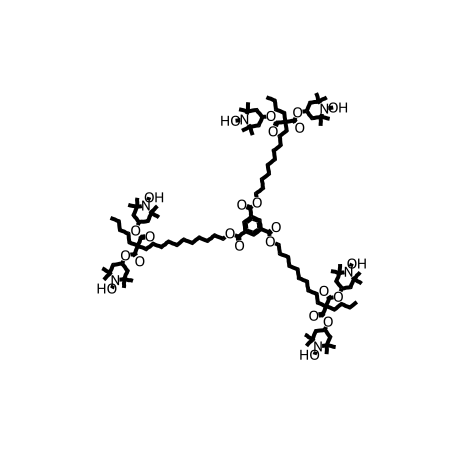 CCCCCC(CCCCCCCCCCCOC(=O)c1cc(C(=O)OCCCCCCCCCCC(CCCC)(C(=O)OC2CC(C)(C)N(O)C(C)(C)C2)C(=O)OC2CC(C)(C)N(O)C(C)(C)C2)cc(C(=O)OCCCCCCCCCCC(CCCC)(C(=O)OC2CC(C)(C)N(O)C(C)(C)C2)C(=O)OC2CC(C)(C)N(O)C(C)(C)C2)c1)(C(=O)OC1CC(C)(C)N(O)C(C)(C)C1)C(=O)OC1CC(C)(C)N(O)C(C)(C)C1